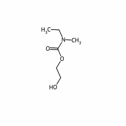 CCN(C)C(=O)OCCO